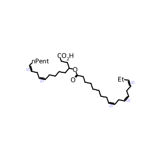 CC/C=C\C/C=C\C/C=C\CCCCCCCC(=O)OC(CCCC/C=C\C/C=C\CCCCC)CCC(=O)O